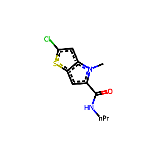 CCCNC(=O)c1cc2sc(Cl)cc2n1C